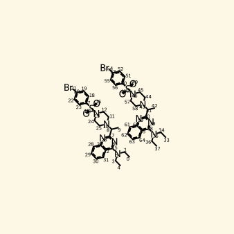 CCN(CC)c1nc(C(C)N2CCN(S(=O)(=O)c3ccc(Br)cc3)CC2)nc2ccccc12.CCN(CC)c1nc(C(C)N2CCN(S(=O)(=O)c3ccc(Br)cc3)CC2)nc2ccccc12